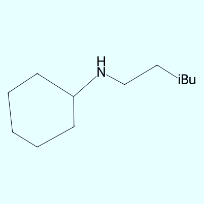 CCC(C)CCNC1CCCCC1